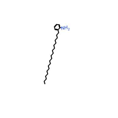 CCCCCCCCCCCCCCCCCCCCCc1ccccc1N